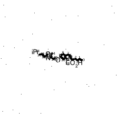 C=CCCCN1CCc2ccc(OCCc3nc(C=CCC(C)C)oc3C)cc2C1C(=O)O